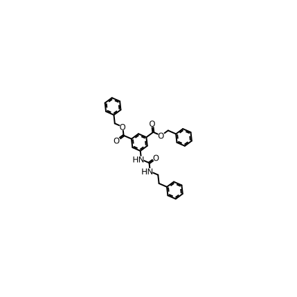 O=C(NCCc1ccccc1)Nc1cc(C(=O)OCc2ccccc2)cc(C(=O)OCc2ccccc2)c1